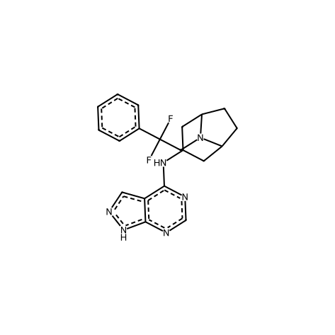 FC(F)(CN1C2CCC1CC(Nc1ncnc3[nH]ncc13)C2)c1ccccc1